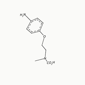 CN(CCOc1ccc(N)cc1)C(=O)O